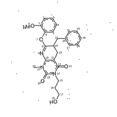 COc1ccccc1OC1=Nc2c(c(=O)n(CCCO)c(=O)n2C)CC1Cc1ccccc1